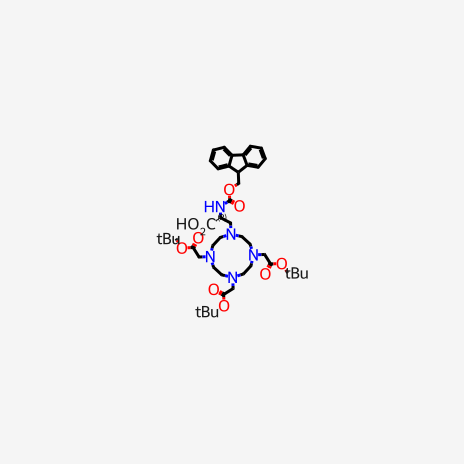 CC(C)(C)OC(=O)CN1CCN(CC(=O)OC(C)(C)C)CCN(C[C@@H](NC(=O)OCC2c3ccccc3-c3ccccc32)C(=O)O)CCN(CC(=O)OC(C)(C)C)CC1